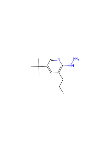 CCCc1cc(C(C)(C)C)cnc1NN